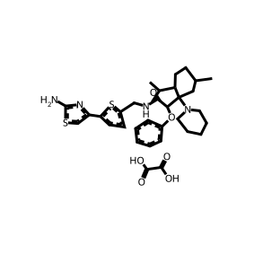 CC1CCC(C(C)C)C(C(Oc2ccccc2)C(=O)NCc2ccc(-c3csc(N)n3)s2)(N2CCCCC2)C1.O=C(O)C(=O)O